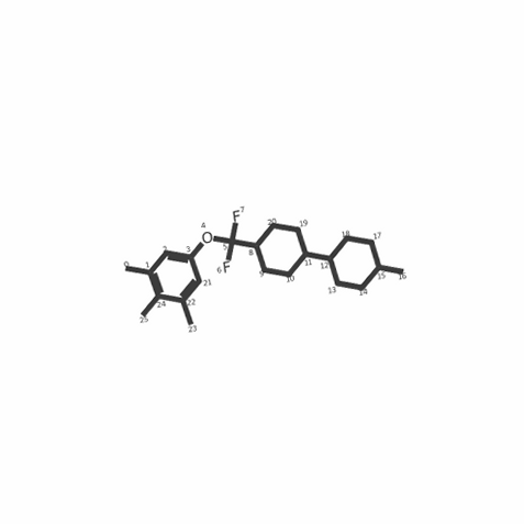 Cc1cc(OC(F)(F)C2CCC(C3CCC(C)CC3)CC2)cc(C)c1C